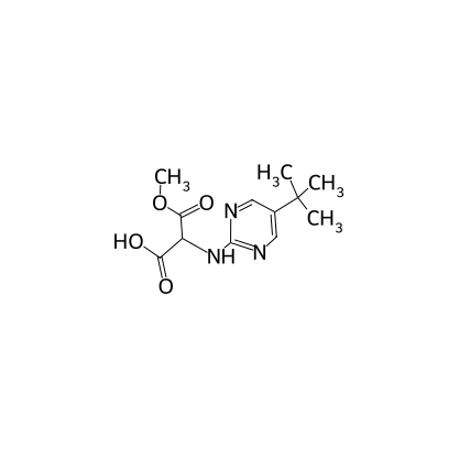 COC(=O)C(Nc1ncc(C(C)(C)C)cn1)C(=O)O